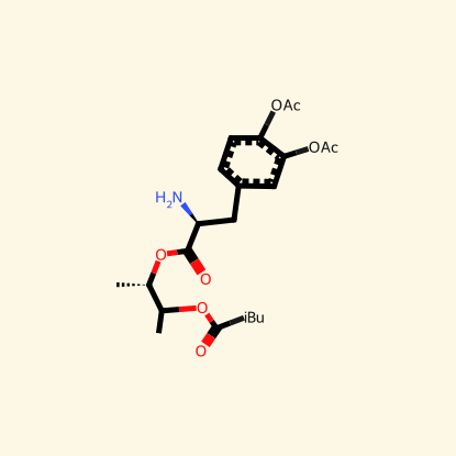 CCC(C)C(=O)OC(C)[C@H](C)OC(=O)[C@@H](N)Cc1ccc(OC(C)=O)c(OC(C)=O)c1